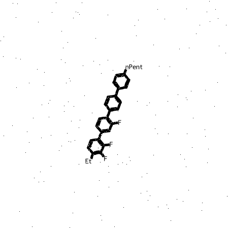 CCCCCc1ccc(-c2ccc(-c3ccc(-c4ccc(CC)c(F)c4F)cc3F)cc2)cc1